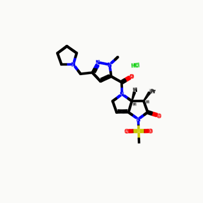 CC(C)[C@H]1C(=O)N(S(C)(=O)=O)C2=CCN(C(=O)c3cc(CN4CCCC4)nn3C)[C@@H]21.Cl